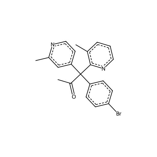 CC(=O)C(c1ccc(Br)cc1)(c1ccnc(C)c1)c1ncccc1C